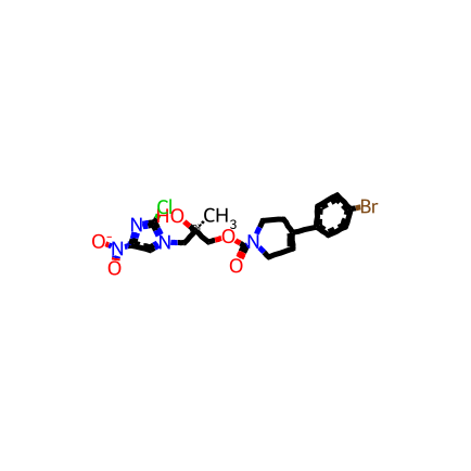 C[C@](O)(COC(=O)N1CC=C(c2ccc(Br)cc2)CC1)Cn1cc([N+](=O)[O-])nc1Cl